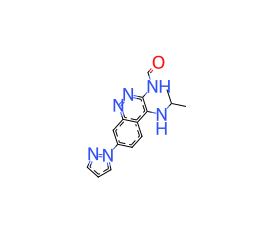 CC(C)Nc1c(NC=O)nnc2cc(-n3cccn3)ccc12